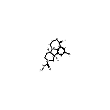 CC(C)(C)OC(=O)N1CC[C@@H]2[C@H](C1)c1cc(Br)cc3c1N2CCCC3=O